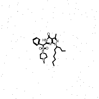 CCCCCCC(CCC)n1nc(C)c2c(=O)[nH]c(C(c3ccccc3)S(=O)(=O)N3CCN(C)CC3)nc21